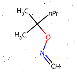 [CH]=NOC(C)(C)CCC